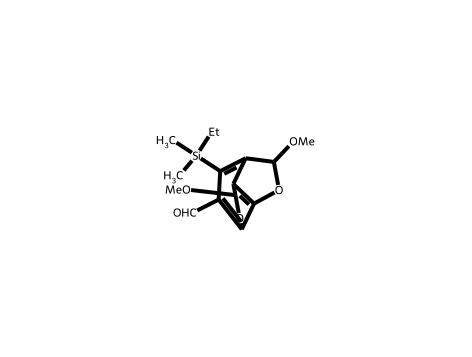 CC[Si](C)(C)c1c(C=O)c2c3c(c1C(OC)O3)C(OC)O2